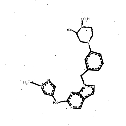 Cn1cc(Nc2ncc3cnn(Cc4cccc(N5CCN(C(=O)O)C(C(C)(C)C)C5)c4)c3n2)cn1